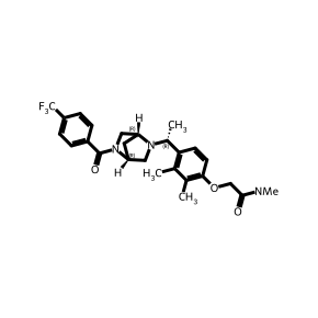 CNC(=O)COc1ccc([C@@H](C)N2C[C@H]3C[C@@H]2CN3C(=O)c2ccc(C(F)(F)F)cc2)c(C)c1C